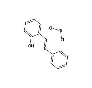 Oc1ccccc1C=Nc1ccccc1.[Cl][Ti][Cl]